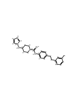 Cc1ccnc(CCc2ccc(OC(=O)N3CCC(On4ccnc4)CC3)cc2)c1